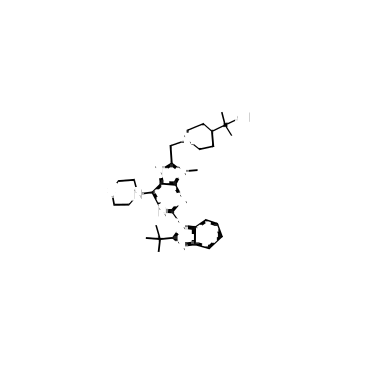 Cn1c(CN2CCC(C(C)(C)O)CC2)nc2c(N3CCOCC3)nc(-n3c(C(C)(C)C)nc4ccccc43)nc21